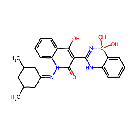 CC1CC(=Nn2c(=O)c(C3=NS(O)(O)c4ccccc4N3)c(O)c3ccccc32)CC(C)C1